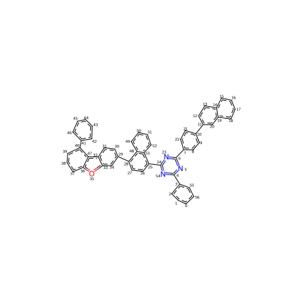 c1ccc(-c2nc(-c3ccc(-c4ccc5ccccc5c4)cc3)nc(-c3ccc(-c4ccc5c(c4)oc4cccc(-c6ccccc6)c45)c4ccccc34)n2)cc1